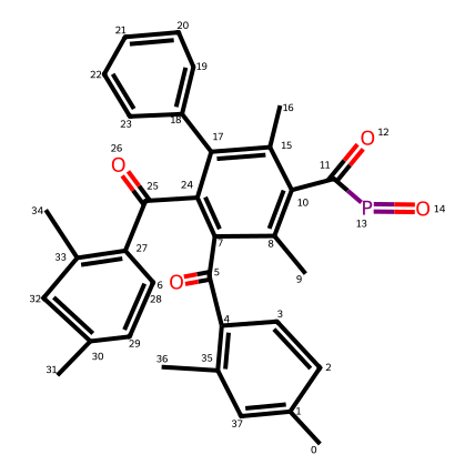 Cc1ccc(C(=O)c2c(C)c(C(=O)P=O)c(C)c(-c3ccccc3)c2C(=O)c2ccc(C)cc2C)c(C)c1